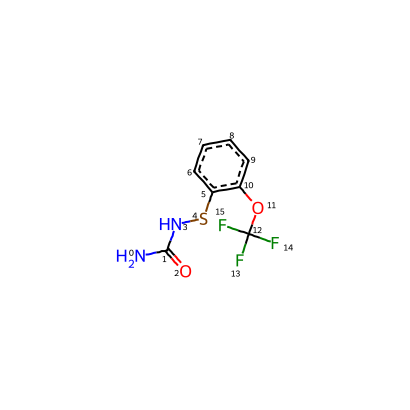 NC(=O)NSc1ccccc1OC(F)(F)F